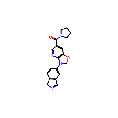 O=C(c1cnc2c(c1)OCN2c1ccc2c(c1)C=NC2)N1CCCC1